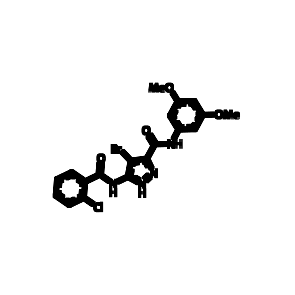 COc1cc(NC(=O)c2n[nH]c(NC(=O)c3ccccc3Cl)c2Br)cc(OC)c1